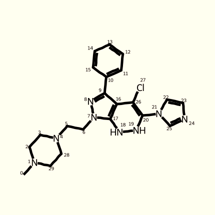 CN1CCN(CCn2nc(-c3ccccc3)c3c2NNC(n2ccnc2)=C3Cl)CC1